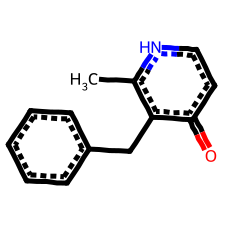 Cc1[nH]ccc(=O)c1Cc1ccccc1